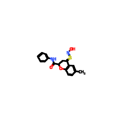 Cc1ccc2c(c1)C(=S=NO)CC(C(=O)Nc1ccccc1)O2